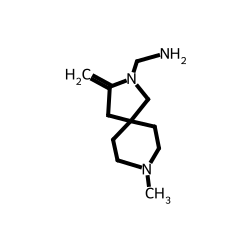 C=C1CC2(CCN(C)CC2)CN1CN